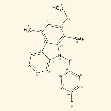 CSc1c(CC(=O)O)cc(C)c2c3ccccc3n(Cc3ccc(F)cc3)c12